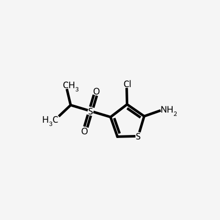 CC(C)S(=O)(=O)c1csc(N)c1Cl